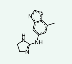 Cc1cc(NC2=NCCN2)cc2ncsc12